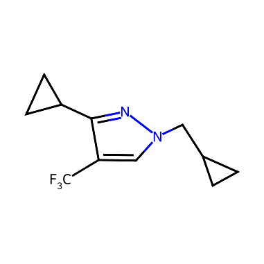 FC(F)(F)c1cn(CC2CC2)nc1C1CC1